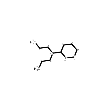 CCCN(CCC)[C]1CCCOO1